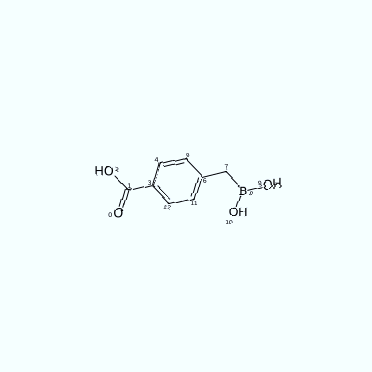 O=C(O)c1ccc(CB(O)O)cc1